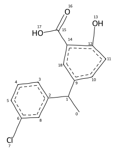 CC(c1cccc(Cl)c1)c1ccc(O)c(C(=O)O)c1